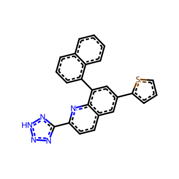 c1csc(-c2cc(-c3cccc4ccccc34)c3nc(-c4nn[nH]n4)ccc3c2)c1